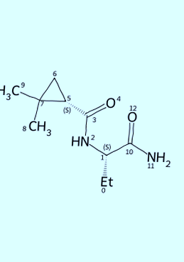 CC[C@H](NC(=O)[C@H]1CC1(C)C)C(N)=O